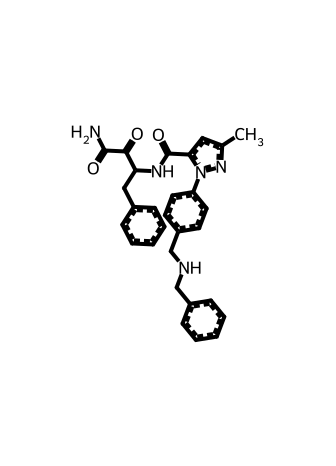 Cc1cc(C(=O)NC(Cc2ccccc2)C(=O)C(N)=O)n(-c2ccc(CNCc3ccccc3)cc2)n1